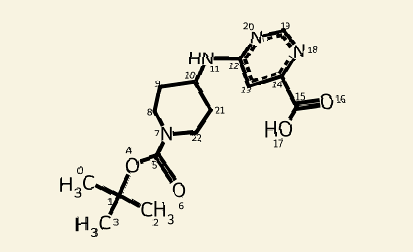 CC(C)(C)OC(=O)N1CCC(Nc2cc(C(=O)O)ncn2)CC1